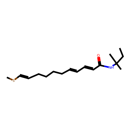 CCC(C)(C)NC(=O)C=CC=CCCCCC=CSC